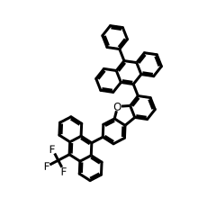 FC(F)(F)c1c2ccccc2c(-c2ccc3c(c2)oc2c(-c4c5ccccc5c(-c5ccccc5)c5ccccc45)cccc23)c2ccccc12